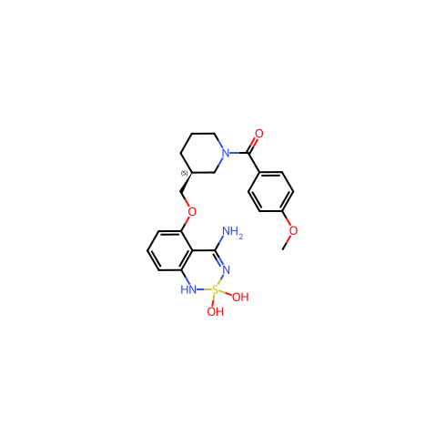 COc1ccc(C(=O)N2CCC[C@H](COc3cccc4c3C(N)=NS(O)(O)N4)C2)cc1